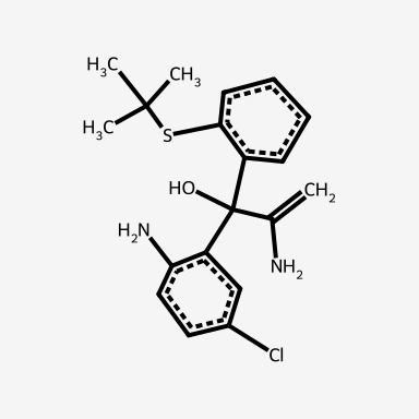 C=C(N)C(O)(c1cc(Cl)ccc1N)c1ccccc1SC(C)(C)C